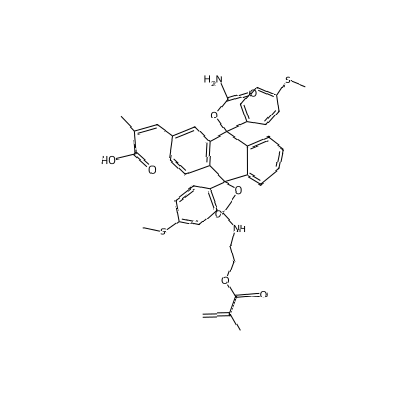 C=C(C)C(=O)OCCNC(=O)OC1(c2ccc(SC)cc2)c2ccccc2C(OC(N)=O)(c2ccc(SC)cc2)c2cc(/C=C(/C)C(=O)O)ccc21